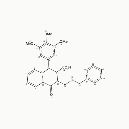 COc1cc(C2C3C=CC=CC3C(=O)C(COCc3ccccc3)C2C(=O)O)cc(OC)c1OC